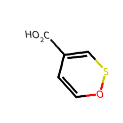 O=C(O)C1=CSOC=C1